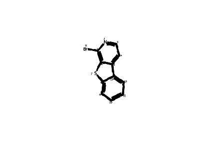 Brc1nccc2c1sc1ccccc12